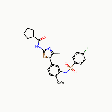 COc1ccc(-c2sc(NC(=O)C3CCCC3)nc2C)cc1NS(=O)(=O)c1ccc(F)cc1